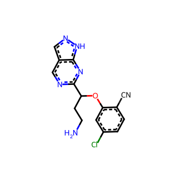 N#Cc1ccc(Cl)cc1OC(CCN)c1ncc2cn[nH]c2n1